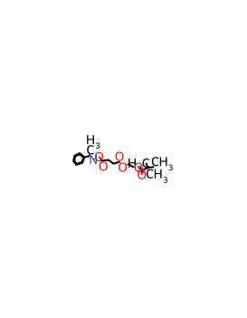 CCC(C)(C)C(=O)OCCOC(=O)CCC(=O)O/N=C(\C)c1ccccc1